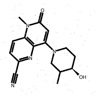 CC1CN(c2cc(=O)n(C)c3ccc(C#N)nc23)CC[C@H]1O